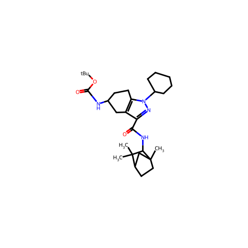 CC(C)(C)OC(=O)NC1CCc2c(c(C(=O)NC3C4(C)CCC(C4)C3(C)C)nn2C2CCCCC2)C1